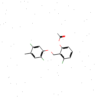 CCC(=O)Oc1cccc(Cl)c1COc1cc(F)c(C)cc1Br